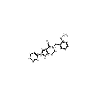 COc1ccccc1CN1CCc2nn(C3=CCCN=C3)cc2C1=O